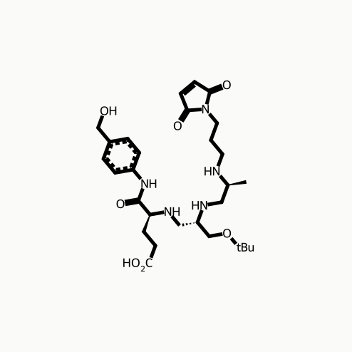 C[C@@H](CN[C@@H](CN[C@@H](CCC(=O)O)C(=O)Nc1ccc(CO)cc1)COC(C)(C)C)NCCCN1C(=O)C=CC1=O